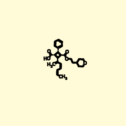 C=C(/C=C\C=C/C)[C@H]1[C@H](C(=O)O)[C@H](c2ccccc2)[C@H]1C(=O)OCCC1CCOCC1